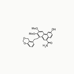 COc1cc2c(cc(C(N)=O)c3ccc(O)cc32)c(CCc2cccc3c2COCO3)c1OC